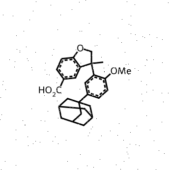 COc1ccc(C23CC4CC(CC(C4)C2)C3)cc1C1(C)COc2ccc(C(=O)O)cc21